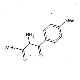 COC(=O)C(N)C(=O)c1ccc(SC)cc1